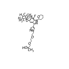 C[C@H](O)COCCOCCn1cc(-c2nn(C3CCCCO3)c3c(F)cc(O[Si](C)(C)C(C)(C)C)cc23)cn1